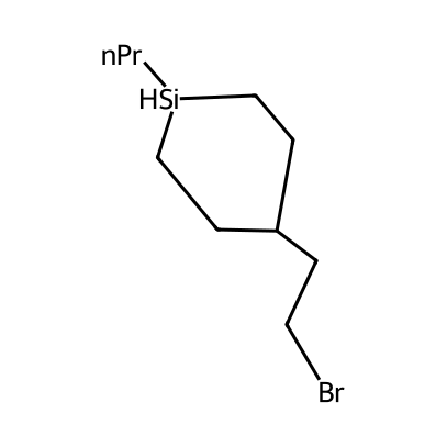 CCC[SiH]1CCC(CCBr)CC1